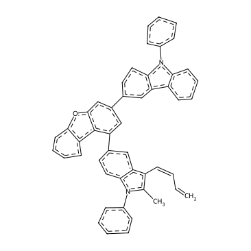 C=C/C=C\c1c(C)n(-c2ccccc2)c2ccc(-c3cc(-c4ccc5c(c4)c4ccccc4n5-c4ccccc4)cc4oc5ccccc5c34)cc12